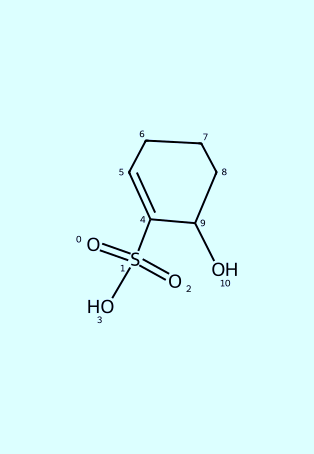 O=S(=O)(O)C1=CCCCC1O